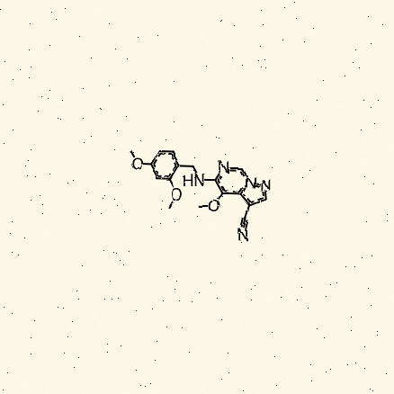 COc1ccc(CNc2ncn3ncc(C#N)c3c2OC)c(OC)c1